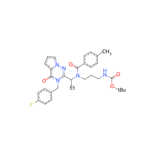 CCC(c1nn2cccc2c(=O)n1Cc1ccc(F)cc1)N(CCCNC(=O)OC(C)(C)C)C(=O)c1ccc(C)cc1